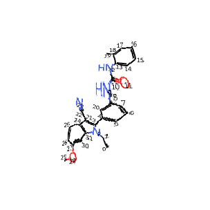 CCn1c(-c2cccc(NC(=O)Nc3ccccc3C)c2)c(C#N)c2ccc(OC)cc21